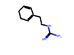 N=C(N)NCCC1=CCCC=C1